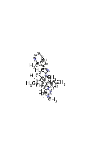 C=Cc1c(C=C(C)C)c2ccc(/C=C(C)/C=C\C(C)=C/C)c(Nc3cccc(C)c3)c2n1/C(C)=C/C=C\C(=C)c1ccc2c(c1)C(=C)/C=C\CCCS2